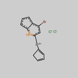 Brc1c[c]([Zr+2][C]2=CC=CC2)[pH]c2cccc1-2.[Cl-].[Cl-]